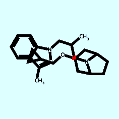 Cc1nn(CC(C)CN2C3CCC2CC(OCC2CC2)C3)c2ccccc12